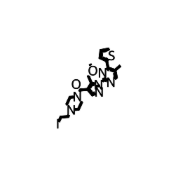 COCc1c(C(=O)N2CCN(CCI)CC2)cnn1-c1ncc(C)c(-c2cccs2)n1